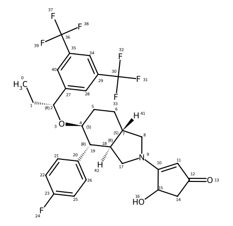 CC[C@@H](O[C@H]1CC[C@@H]2CN(C3=CC(=O)CC3O)C[C@H]2[C@@H]1c1ccc(F)cc1)c1cc(C(F)(F)F)cc(C(F)(F)F)c1